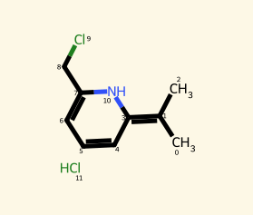 CC(C)=C1C=CC=C(CCl)N1.Cl